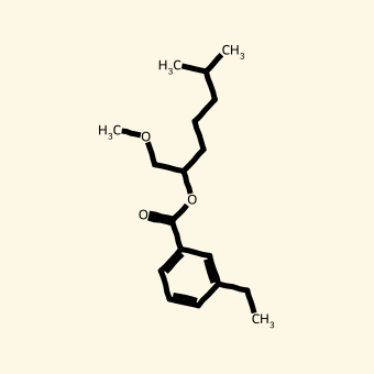 CCc1cccc(C(=O)OC(CCCC(C)C)COC)c1